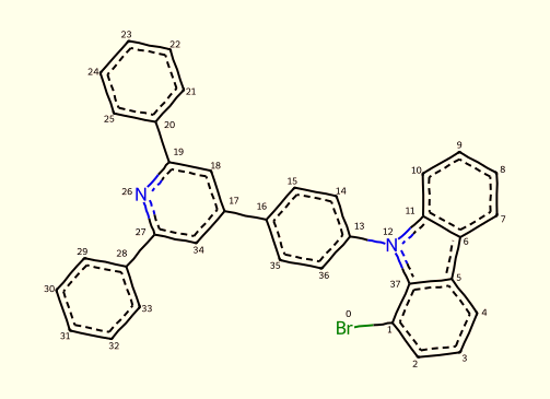 Brc1cccc2c3ccccc3n(-c3ccc(-c4cc(-c5ccccc5)nc(-c5ccccc5)c4)cc3)c12